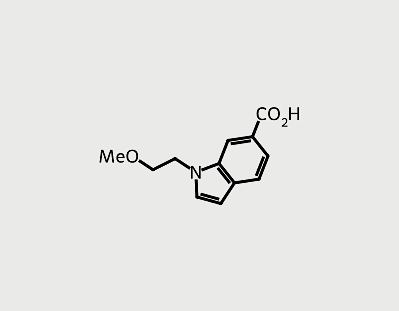 COCCn1ccc2ccc(C(=O)O)cc21